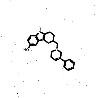 Oc1ccc2[nH]c3c(c2c1)CC(CN1CCC=C(c2ccccc2)C1)CC3